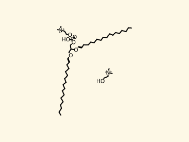 CCCCCCCCCCCCCCCCC=COCC(COP(=O)(O)OCC[N+](C)(C)C)OC=CCCCCCCCCCCCCCCCC.C[N+](C)(C)CCO